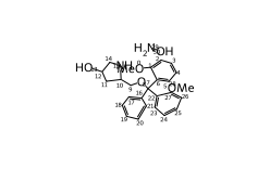 COc1ccccc1C(OCC1CC(O)CN1)(c1ccccc1)c1ccccc1OC.NO